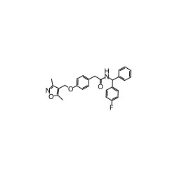 Cc1noc(C)c1COc1ccc(CC(=O)NC(c2ccccc2)c2ccc(F)cc2)cc1